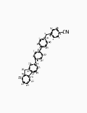 N#Cc1ccc(C[n+]2ccc(-c3cc[n+](-c4ccc5c(c4)Cc4ccccc4-5)cc3)cc2)cc1